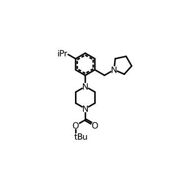 CC(C)c1ccc(CN2CCCC2)c(N2CCN(C(=O)OC(C)(C)C)CC2)c1